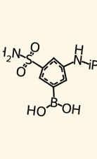 CC(C)Nc1cc(B(O)O)cc(S(N)(=O)=O)c1